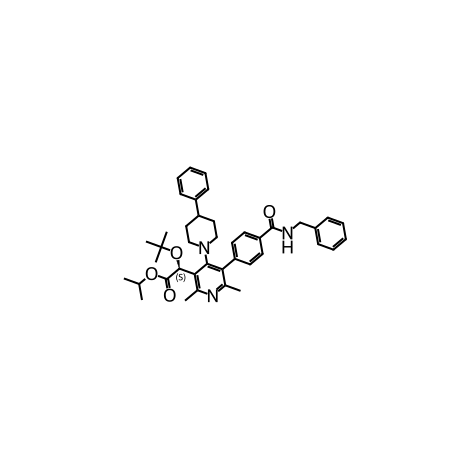 Cc1nc(C)c([C@H](OC(C)(C)C)C(=O)OC(C)C)c(N2CCC(c3ccccc3)CC2)c1-c1ccc(C(=O)NCc2ccccc2)cc1